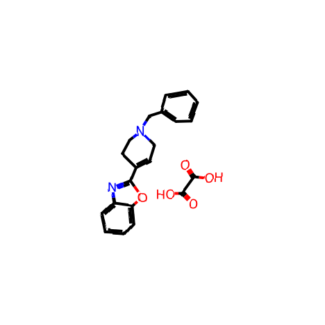 C1=C(c2nc3ccccc3o2)CCN(Cc2ccccc2)C1.O=C(O)C(=O)O